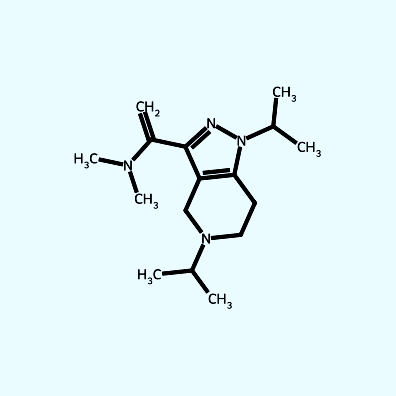 C=C(c1nn(C(C)C)c2c1CN(C(C)C)CC2)N(C)C